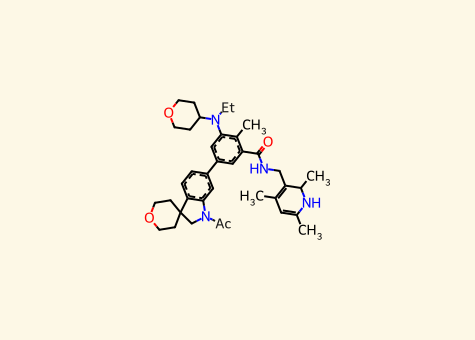 CCN(c1cc(-c2ccc3c(c2)N(C(C)=O)CC32CCOCC2)cc(C(=O)NCC2=C(C)C=C(C)NC2C)c1C)C1CCOCC1